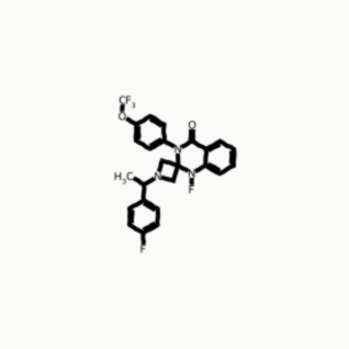 CC(c1ccc(F)cc1)N1CC2(C1)N(F)c1ccccc1C(=O)N2c1ccc(OC(F)(F)F)cc1